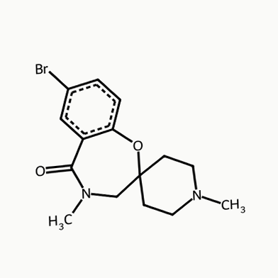 CN1CCC2(CC1)CN(C)C(=O)c1cc(Br)ccc1O2